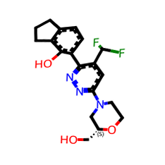 OC[C@@H]1CN(c2cc(C(F)F)c(-c3ccc4c(c3O)CCC4)nn2)CCO1